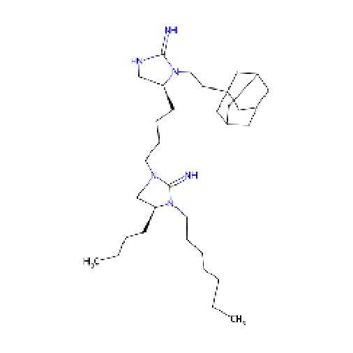 CCCCCCCN1C(=N)N(CCCC[C@H]2CNC(=N)N2CCC23CC4CC(CC(C4)C2)C3)C[C@@H]1CCCC